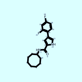 O=C(NC1CCCCCCC1)c1cc(-c2ccc(F)cc2F)c[nH]1